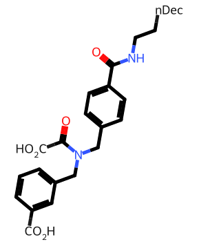 CCCCCCCCCCCCNC(=O)c1ccc(CN(Cc2cccc(C(=O)O)c2)C(=O)C(=O)O)cc1